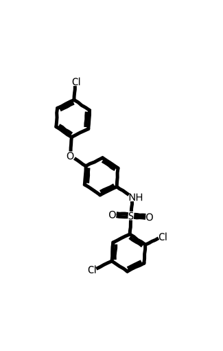 O=S(=O)(Nc1ccc(Oc2ccc(Cl)cc2)cc1)c1cc(Cl)ccc1Cl